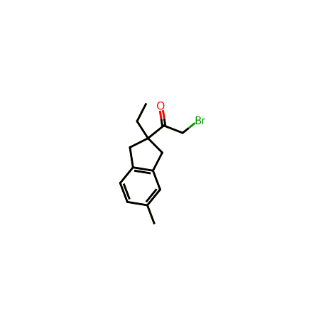 CCC1(C(=O)CBr)Cc2ccc(C)cc2C1